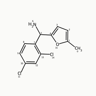 Cc1ccc(C(N)c2ccc(Cl)cc2Cl)o1